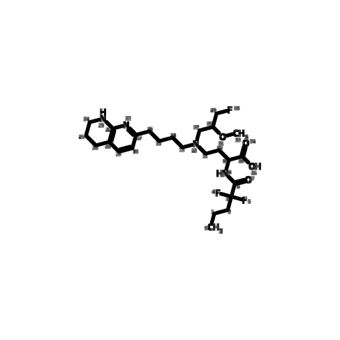 CCCC(F)(F)C(=O)NC(CCN(CCCCc1ccc2c(n1)NCCC2)CC(CF)OC)C(=O)O